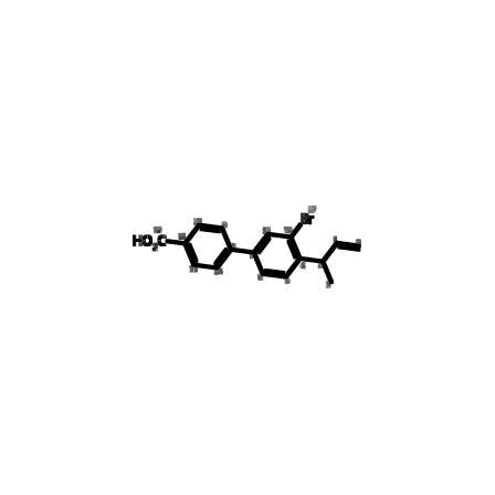 C=CC(C)c1ccc(-c2ccc(C(=O)O)cc2)cc1Br